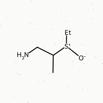 CC[S+]([O-])C(C)CN